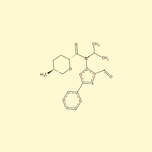 CC(C)N(C(=O)[C@H]1CC[C@H](C)CO1)c1cc(-c2ccccc2)sc1C=O